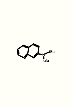 CC(C)(C)N(c1ccc2ccccc2c1)C(C)(C)C